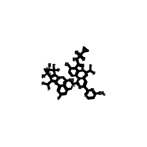 Cc1ccnc(-c2cc(=O)n(-c3ccc(Cl)c4c(NS(=O)(=O)C5CC5)nn(CC(F)F)c34)c([C@H](Cc3cc(F)cc(F)c3)NC(=O)Cn3nc(C(F)F)c4c3C(F)(F)[C@@H]3C[C@H]43)n2)n1